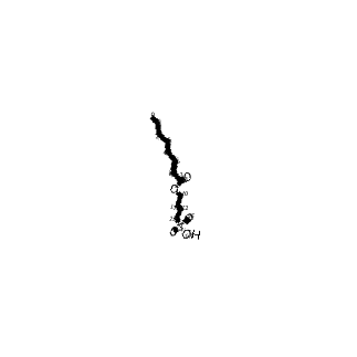 CCCCCCCC(=O)OCCCCS(=O)(=O)O